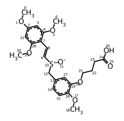 COc1cc(OC)c(C=C[S+]([O-])Cc2ccc(OC)c(OCCCC(=O)O)c2)c(OC)c1